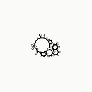 O=C1CCCS(=O)(=O)NC(=O)c2ccc3c(c2)N(CC2CCC2CN1)C[C@@]1(CCCc2cc(Cl)ccc21)CO3